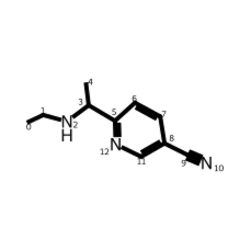 CCNC(C)c1ccc(C#N)cn1